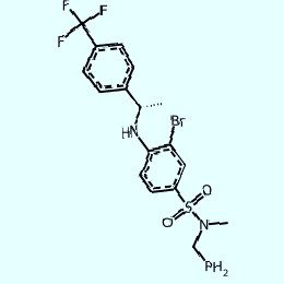 C[C@H](Nc1ccc(S(=O)(=O)N(C)CP)cc1Br)c1ccc(C(F)(F)F)cc1